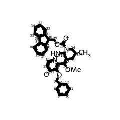 COC(=O)c1c(OCc2ccccc2)c(=O)ccn1NC1CC[C@@H](C)CN1C(=O)OCC1c2ccccc2-c2ccccc21